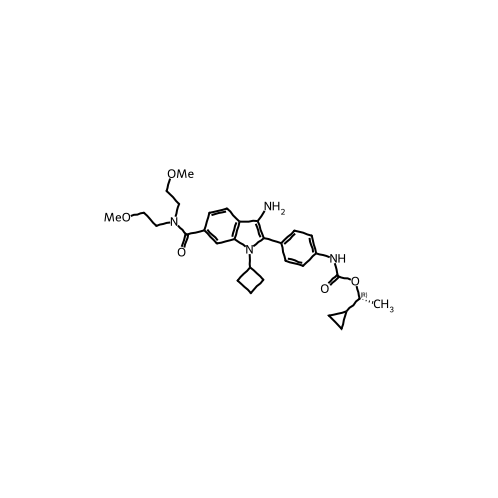 COCCN(CCOC)C(=O)c1ccc2c(N)c(-c3ccc(NC(=O)O[C@H](C)C4CC4)cc3)n(C3CCC3)c2c1